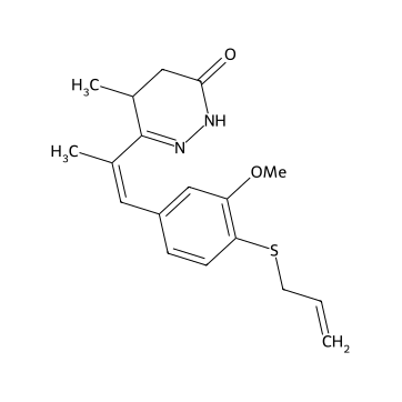 C=CCSc1ccc(C=C(C)C2=NNC(=O)CC2C)cc1OC